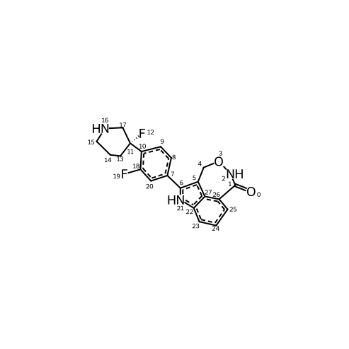 O=C1NOCc2c(-c3ccc([C@@]4(F)CCCNC4)c(F)c3)[nH]c3cccc1c23